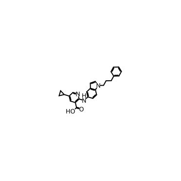 O=C(O)c1cc(C2CC2)cnc1Nc1ccc2c(ccn2CCCc2ccccc2)c1